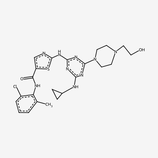 Cc1cccc(Cl)c1NC(=O)c1cnc(Nc2nc(NC3CC3)nc(N3CCN(CCO)CC3)n2)s1